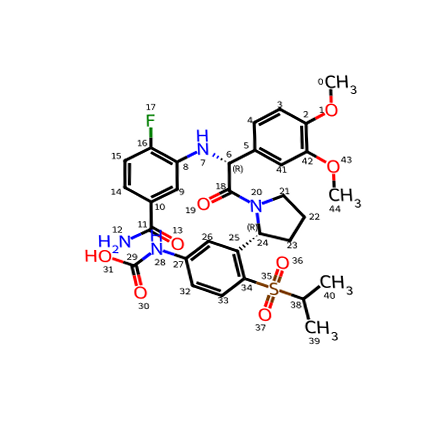 COc1ccc([C@@H](Nc2cc(C(N)=O)ccc2F)C(=O)N2CCC[C@@H]2c2cc(NC(=O)O)ccc2S(=O)(=O)C(C)C)cc1OC